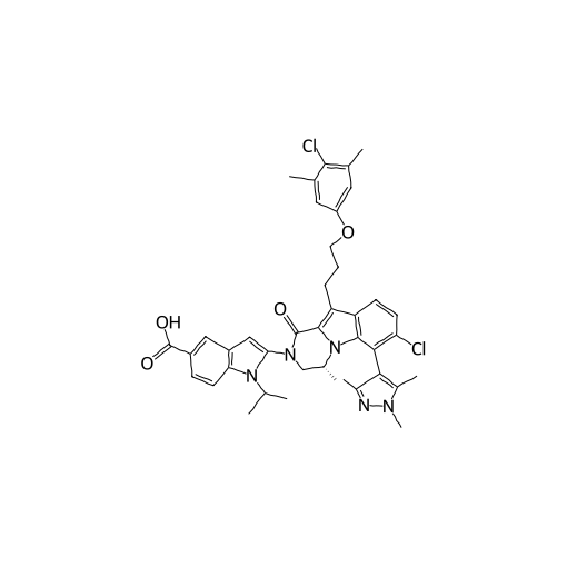 Cc1cc(OCCCc2c3n(c4c(-c5c(C)nn(C)c5C)c(Cl)ccc24)[C@H](C)CN(c2cc4cc(C(=O)O)ccc4n2C(C)C)C3=O)cc(C)c1Cl